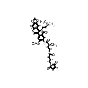 COc1cc2c(cc1OC(=O)N(C)CCOC(=O)CCCN1C(=O)C=CC1=O)c(=O)n(CCN(C)C)c1c3cc4c(cc3ncc21)OCO4